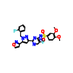 COc1ccc(S(=O)(=O)Nc2nc(-c3cc(-c4ccon4)n(Cc4ccccc4F)n3)ncc2F)cc1OC